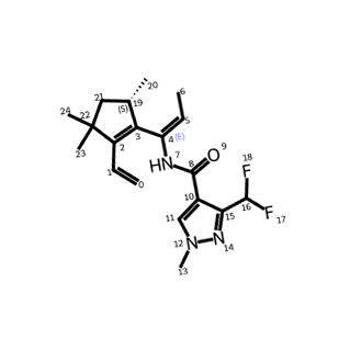 C=CC1=C(/C(=C\C)NC(=O)c2cn(C)nc2C(F)F)[C@@H](C)CC1(C)C